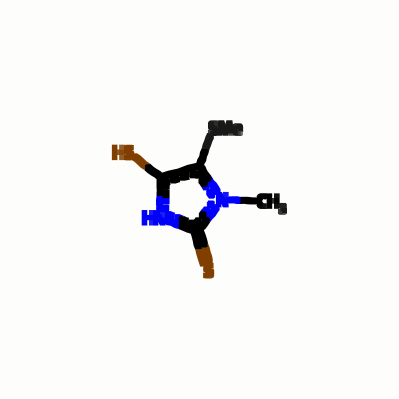 CSc1c(S)[nH]c(=S)n1C